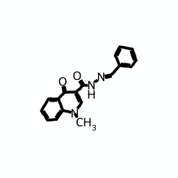 Cn1cc(C(=O)NN=Cc2ccccc2)c(=O)c2ccccc21